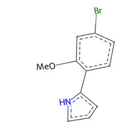 COc1cc(Br)ccc1-c1ccc[nH]1